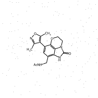 CC(=O)NCc1cc(-c2c(C)noc2C)c2c3c1[nH]c(=O)n3CCO2